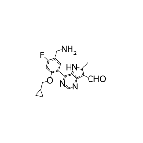 Cc1[nH]c2c(-c3cc(CN)c(F)cc3OCC3CC3)ncnc2c1[C]=O